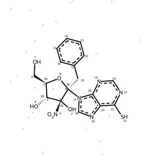 O=[N+]([O-])[C@@]1(O)[C@H](O)[C@@H](CO)O[C@@]1(Cc1ccccc1)n1cnc2c(S)ncnc21